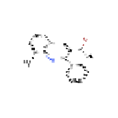 Cc1cccc2cc(C(C)Br)c(-c3ccccc3)nc12